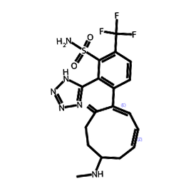 C=C1CCC(NC)C/C=C\C=C/1c1ccc(C(F)(F)F)c(S(N)(=O)=O)c1-c1nnn[nH]1